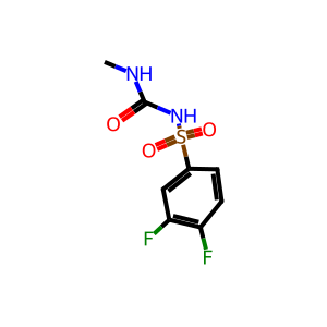 CNC(=O)NS(=O)(=O)c1ccc(F)c(F)c1